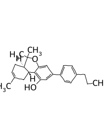 CCCc1ccc(-c2cc(O)c3c(c2)OC(C)(C)[C@@H]2CC=C(C)C[C@@H]32)cc1